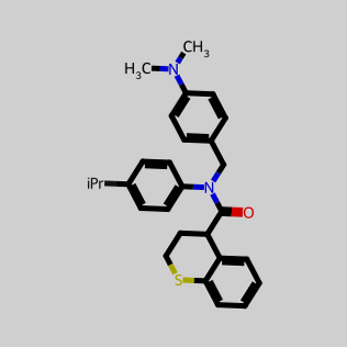 CC(C)c1ccc(N(Cc2ccc(N(C)C)cc2)C(=O)C2CCSc3ccccc32)cc1